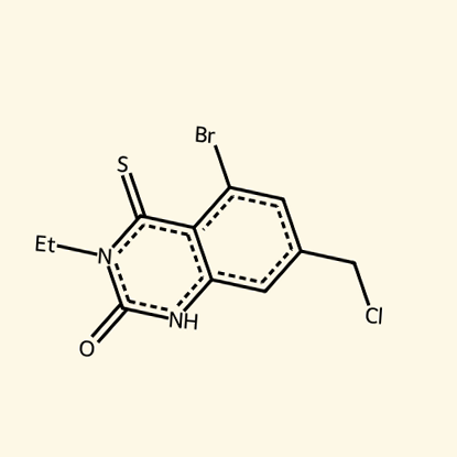 CCn1c(=O)[nH]c2cc(CCl)cc(Br)c2c1=S